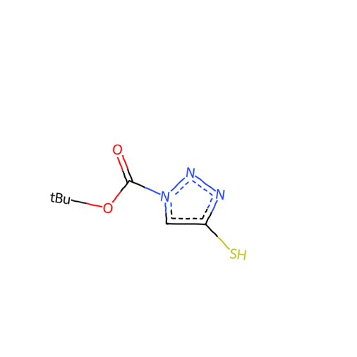 CC(C)(C)OC(=O)n1cc(S)nn1